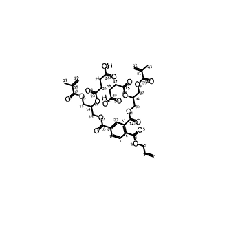 C=CCOC(=O)c1ccc(C(=O)OCC(COC(=O)C(=C)C)OC(=O)CCC(=O)O)cc1C(=O)OCC(COC(=O)C(=C)C)OC(=O)CCC(=O)O